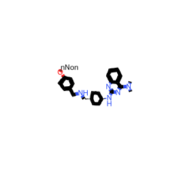 CCCCCCCCCOc1ccc(CNC[C@H]2CC[C@@H](Nc3nc(N(C)C)c4ccccc4n3)CC2)cc1